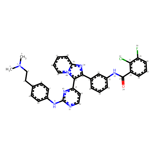 CN(C)CCc1ccc(Nc2nccc(-c3c(-c4cccc(NC(=O)c5cccc(F)c5Cl)c4)nc4ccccn34)n2)cc1